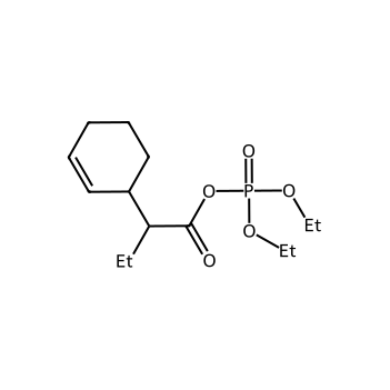 CCOP(=O)(OCC)OC(=O)C(CC)C1C=CCCC1